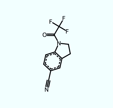 N#Cc1ccc2c(c1)CCN2C(=O)C(F)(F)F